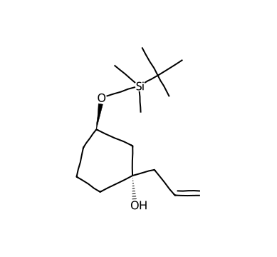 C=CC[C@@]1(O)CCC[C@@H](O[Si](C)(C)C(C)(C)C)C1